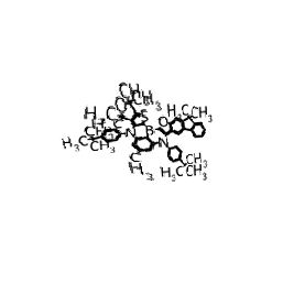 Cc1cc2c3c(c1)N(c1ccc(C(C)(C)C)cc1)c1c(oc4cc5c(cc14)-c1ccccc1C5(C)C)B3c1sc3c(c1N2c1ccc(C(C)(C)C)cc1)C(C)(C)OC3(C)C